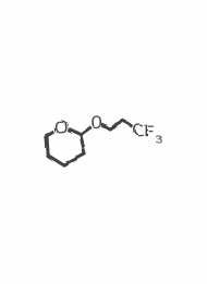 FC(F)(F)CCOC1CCCCO1